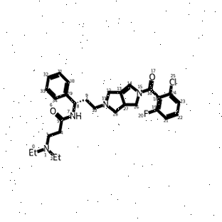 CCN(CC)CCC(=O)N[C@@H](CCN1CC2=CN(C(=O)c3c(F)cccc3Cl)CC2C1)c1ccccc1